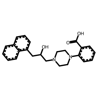 O=C(O)c1ccccc1N1CCN(CC(O)Cc2cccc3ccccc23)CC1